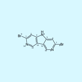 Brc1cc2[nH]c3cc(Br)ncc3c2cn1